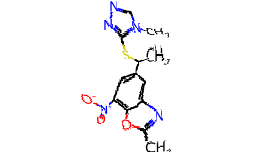 Cc1nc2cc(C(C)Sc3nncn3C)cc([N+](=O)[O-])c2o1